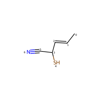 CC=CC(S)C#N